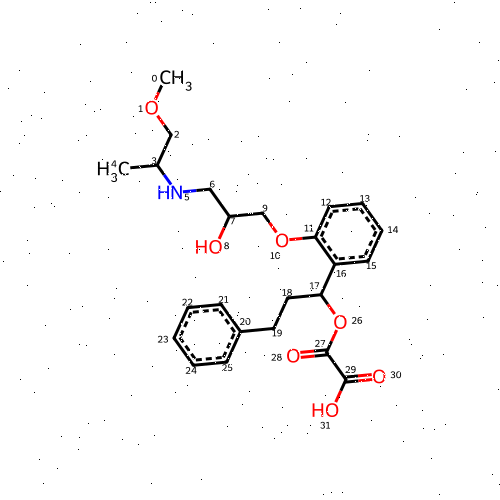 COCC(C)NCC(O)COc1ccccc1C(CCc1ccccc1)OC(=O)C(=O)O